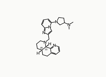 CN(C)C1CCN(c2cccc3nc(CN4CCC[C@H]5CCc6cccnc6[C@H]54)cn23)C1